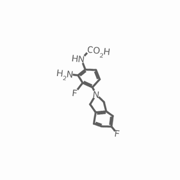 Nc1c(NC(=O)O)ccc(N2Cc3ccc(F)cc3C2)c1F